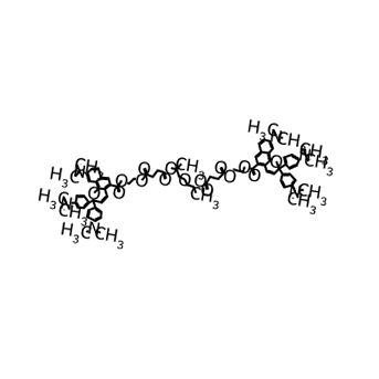 CC(COCC(C)OC(=O)CCC(=O)OCCOC(=O)c1cc2ccc(N(C)C)cc2c2c1C=CC(c1ccc(N(C)C)cc1)(c1ccc(N(C)C)cc1)O2)OC(=O)CCC(=O)OCCOC(=O)c1cc2ccc(N(C)C)cc2c2c1C=CC(c1ccc(N(C)C)cc1)(c1ccc(N(C)C)cc1)O2